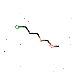 COCSCCCCl